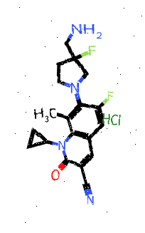 Cc1c(N2CCC(F)(CN)C2)c(F)cc2cc(C#N)c(=O)n(C3CC3)c12.Cl